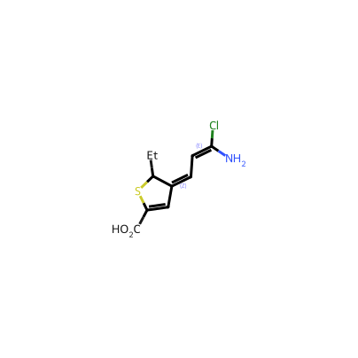 CCC1SC(C(=O)O)=C/C1=C/C=C(\N)Cl